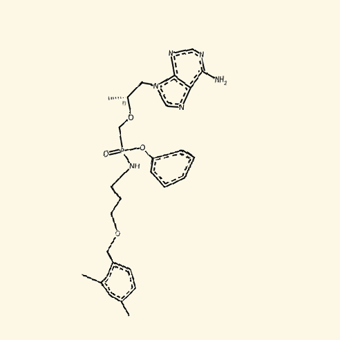 Cc1ccc(COCCCNP(=O)(CO[C@H](C)Cn2cnc3c(N)ncnc32)Oc2ccccc2)c(C)c1